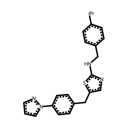 CC(C)c1ccc(CNc2ncc(Cc3ccc(-n4cccn4)cc3)s2)cc1